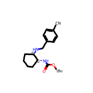 CC(C)(C)OC(=O)N[C@@H]1CCCC[C@H]1NCc1ccc(C#N)cc1